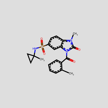 Cc1ccccc1C(=O)n1c(=O)n(C)c2ccc(S(=O)(=O)NC3(C)CC3)cc21